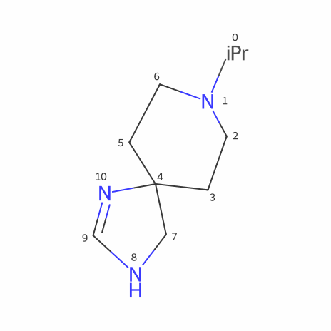 CC(C)N1CCC2(CC1)CNC=N2